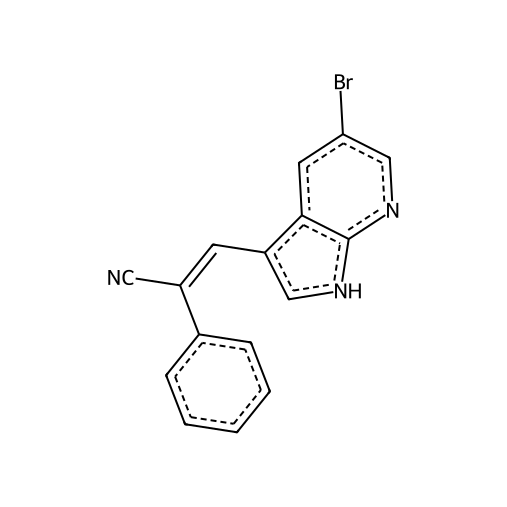 N#CC(=Cc1c[nH]c2ncc(Br)cc12)c1ccccc1